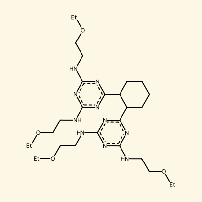 CCOCCNc1nc(NCCOCC)nc(C2CCCCC2c2nc(NCCOCC)nc(NCCOCC)n2)n1